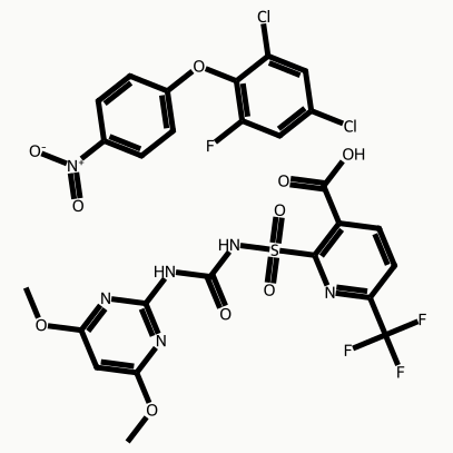 COc1cc(OC)nc(NC(=O)NS(=O)(=O)c2nc(C(F)(F)F)ccc2C(=O)O)n1.O=[N+]([O-])c1ccc(Oc2c(F)cc(Cl)cc2Cl)cc1